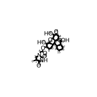 Cc1cn(CC(=O)Oc2ccc3c(-c4ccccc4C(=O)O)c4ccc(=O)c(O)c-4oc3c2O)c(=O)[nH]c1=O